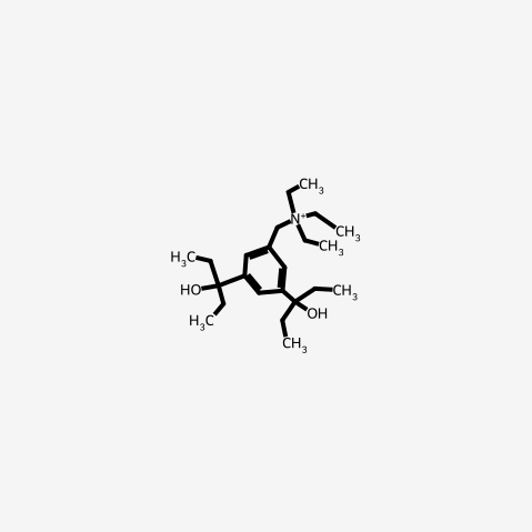 CCC(O)(CC)c1cc(C[N+](CC)(CC)CC)cc(C(O)(CC)CC)c1